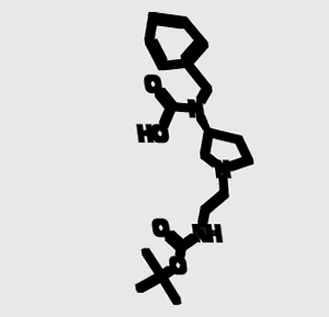 CC(C)(C)OC(=O)NCCN1CC[C@H](N(Cc2ccccc2)C(=O)O)C1